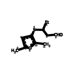 CCC(CC=O)Sc1cc(C)oc1C